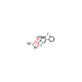 CCCCCCCOC1(C(=O)OC(C#N)C(C)C)C=CC(c2ccccc2F)=CC1F